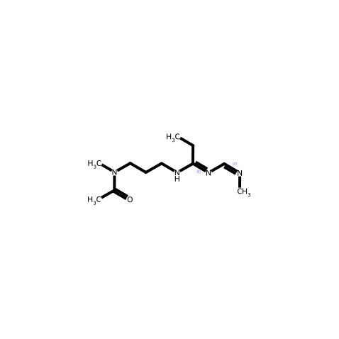 CC/C(=N\C=N/C)NCCCN(C)C(C)=O